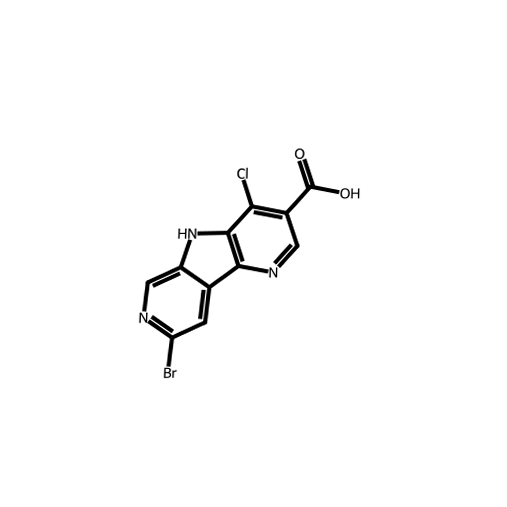 O=C(O)c1cnc2c([nH]c3cnc(Br)cc32)c1Cl